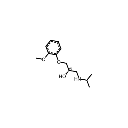 COc1ccccc1OC[C@H](O)CNC(C)C